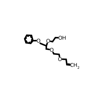 C=CCOCCOCC(COc1ccccc1)OCCO